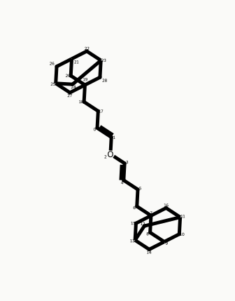 C(=COC=CCCC12CC3CC(CC(C3)C1)C2)CCC12CC3CC(CC(C3)C1)C2